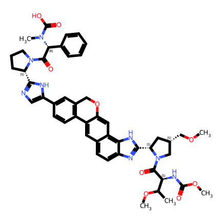 COC[C@H]1C[C@@H](c2nc3ccc4cc5c(cc4c3[nH]2)OCc2cc(-c3cnc([C@@H]4CCCN4C(=O)[C@@H](c4ccccc4)N(C)C(=O)O)[nH]3)ccc2-5)N(C(=O)[C@@H](NC(=O)OC)C(C)OC)C1